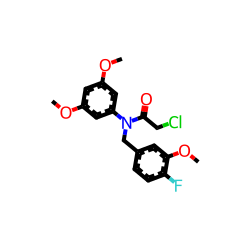 COc1cc(OC)cc(N(Cc2ccc(F)c(OC)c2)C(=O)CCl)c1